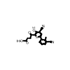 Cc1c(C#N)cccc1-c1cc(C#N)c(O)c(C(=O)CCC(=O)O)n1